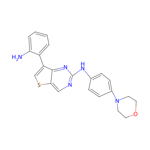 Nc1ccccc1-c1csc2cnc(Nc3ccc(N4CCOCC4)cc3)nc12